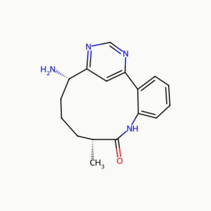 C[C@@H]1CCC[C@H](N)c2cc(ncn2)-c2ccccc2NC1=O